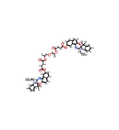 CC(COCC(C)OC(=O)CCC(=O)Oc1ccc2ccc3c(c2c1)N=CC1(O3)N(CC(C)(C)C)c2ccccc2C1(C)C)OC(=O)CCC(=O)Oc1ccc2ccc3c(c2c1)N=CC1(O3)N(CC(C)(C)C)c2ccccc2C1(C)C